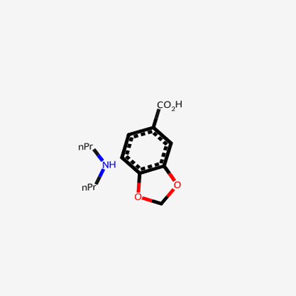 CCCNCCC.O=C(O)c1ccc2c(c1)OCO2